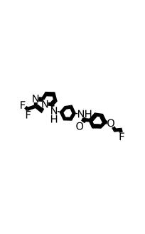 O=C(N[C@H]1CC[C@@H](Nc2cccc3nc(C(F)F)cn23)CC1)c1ccc(OCCF)cc1